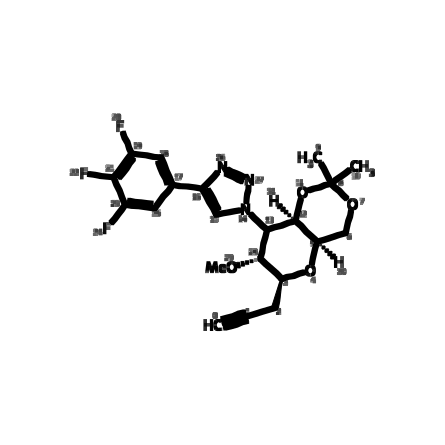 C#CC[C@@H]1O[C@@H]2COC(C)(C)O[C@@H]2C(n2cc(-c3cc(F)c(F)c(F)c3)nn2)[C@H]1OC